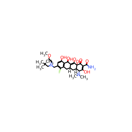 COCCN(Cc1cc(O)c2c(c1F)C[C@H]1C[C@H]3[C@H](N(C)C)C(O)=C(C(N)=O)C(=O)[C@@]3(O)C(O)=C1C2=O)CC(C)(C)C